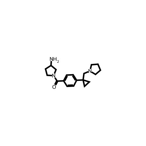 NC1CCN(C(=O)c2ccc(C3(CN4CCCC4)CC3)cc2)C1